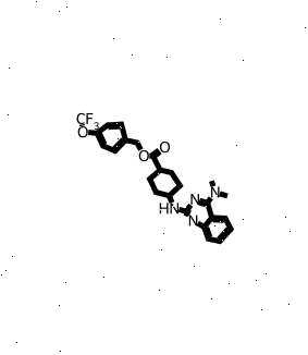 CN(C)c1nc(NC2CCC(C(=O)OCc3ccc(OC(F)(F)F)cc3)CC2)nc2ccccc12